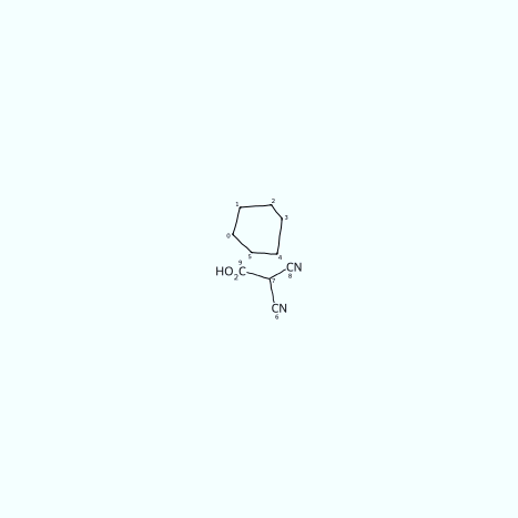 C1CCCCC1.N#CC(C#N)C(=O)O